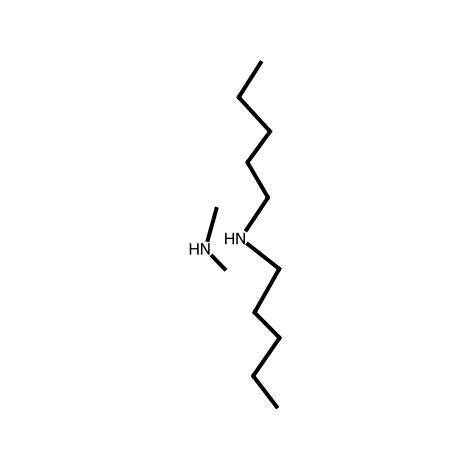 CCCCCNCCCCC.CNC